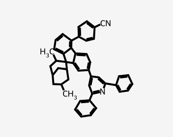 CC1CC2CC(C)C3(c4cc(-c5cc(-c6ccccc6)nc(-c6ccccc6)c5)ccc4-c4c(-c5ccc(C#N)cc5)cccc43)C(C1)C2